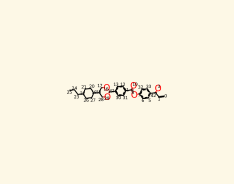 C=CC(=O)c1ccc(OC(=O)c2ccc(C3OCC(C4CCC(CCC)CC4)CO3)cc2)cc1